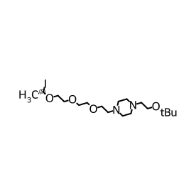 C[C@H](I)OCCOCCOCCN1CCN(CCOC(C)(C)C)CC1